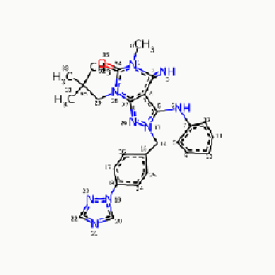 Cn1c(=N)c2c(Nc3ccccc3)n(Cc3ccc(-n4cncn4)cc3)nc2n(CC(C)(C)C)c1=O